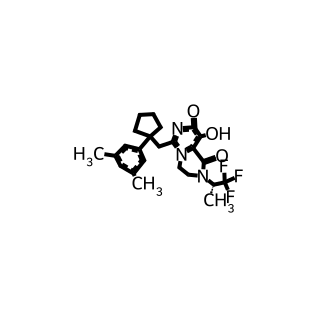 Cc1cc(C)cc(C2(Cc3nc(=O)c(O)c4n3CCN([C@@H](C)C(F)(F)F)C4=O)CCCC2)c1